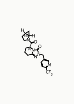 O=C([C@@H]1CCCc2nn(Cc3ccc(C(F)(F)F)nc3)c(=O)n21)N1CC[C@@H]2C[C@@H]21